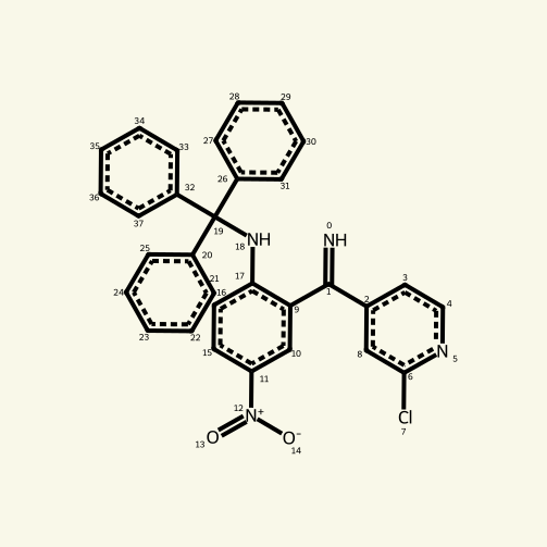 N=C(c1ccnc(Cl)c1)c1cc([N+](=O)[O-])ccc1NC(c1ccccc1)(c1ccccc1)c1ccccc1